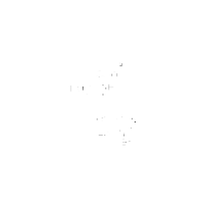 CC(C)(C)OC(=O)N[C@H](CCC(=O)c1cncc(Br)c1O)C(=O)O